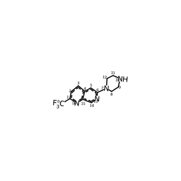 FC(F)(F)c1ccc2cc(N3CCNCC3)ncc2n1